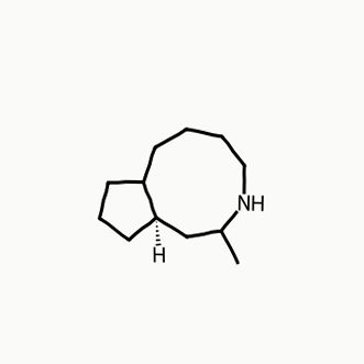 CC1C[C@H]2CCCC2CCCCN1